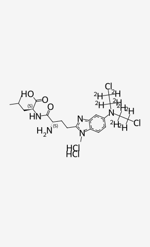 Cl.Cl.[2H]C([2H])(Cl)C([2H])([2H])N(c1ccc2c(c1)nc(CC[C@H](N)C(=O)N[C@@H](CC(C)C)C(=O)O)n2C)C([2H])([2H])C([2H])([2H])Cl